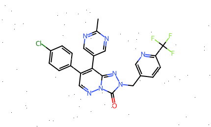 Cc1ncc(-c2c(-c3ccc(Cl)cc3)cnn3c(=O)n(Cc4ccc(C(F)(F)F)nc4)nc23)cn1